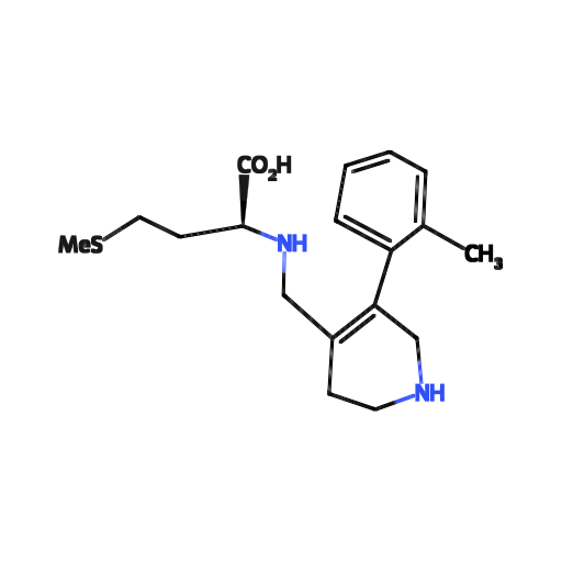 CSCC[C@H](NCC1=C(c2ccccc2C)CNCC1)C(=O)O